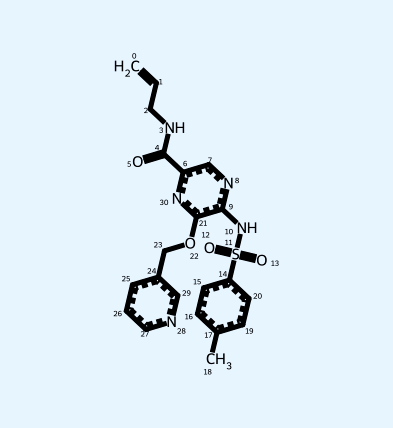 C=CCNC(=O)c1cnc(NS(=O)(=O)c2ccc(C)cc2)c(OCc2cccnc2)n1